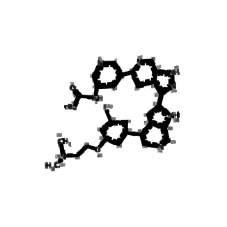 CCCCC(=O)Nc1cncc(-c2cc3c(-c4cc5c(-c6cc(F)cc(OCCN(C)C)c6)cncc5[nH]4)n[nH]c3cn2)c1